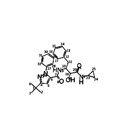 CC(C)(C)c1cc(C(=O)NC(Cc2ccccc2)C(O)C(=O)NC2CC2)n(-c2ccccc2)n1